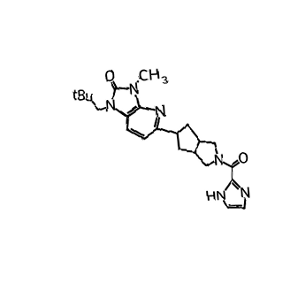 Cn1c(=O)n(CC(C)(C)C)c2ccc(C3CC4CN(C(=O)c5ncc[nH]5)CC4C3)nc21